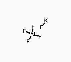 [F][Al-]([F])([F])[F].[F][K]